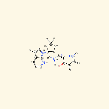 C=C(NC)C(=C)C(=O)/C=C\N(C)CC1(n2cc(C)c3cccnc32)CCC(C)(C)C1